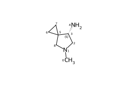 CN1C[C@@H](N)C2(CC2)C1